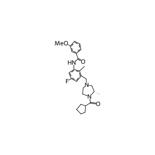 COc1cccc(C(=O)Nc2cc(F)cc(CN3CCN(C(=O)C4CCCC4)[C@@H](C)C3)c2C)c1